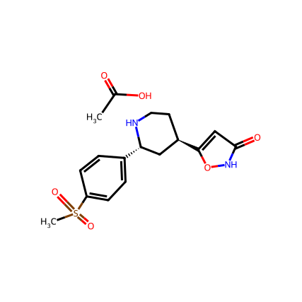 CC(=O)O.CS(=O)(=O)c1ccc([C@H]2C[C@H](c3cc(=O)[nH]o3)CCN2)cc1